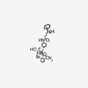 Cc1cccc(Br)c1C(=O)N[C@@H](Cc1ccc(NC(=O)CCCNc2ccccn2)cc1)C(=O)O